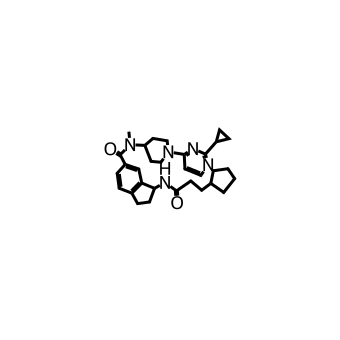 CN(C(=O)c1ccc2c(c1)C(NC(=O)CCC1CCCC1)CC2)C1CCN(c2ccnc(C3CC3)n2)CC1